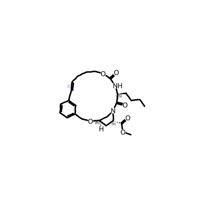 CCCC[C@@H]1NC(=O)OCCC/C=C/c2cccc(c2)CO[C@@H]2C[C@@H](C(=O)OC)N(C2)C1=O